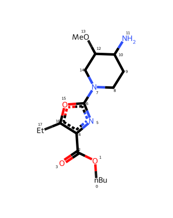 CCCCOC(=O)c1nc(N2CCC(N)C(OC)C2)oc1CC